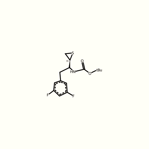 CC(C)(C)OC(=O)NC(Cc1cc(F)cc(F)c1)[C@H]1CS1